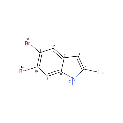 Brc1cc2cc(I)[nH]c2cc1Br